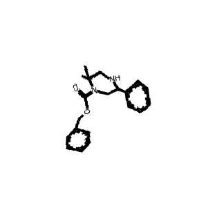 CC1(C)CNC(c2ccccc2)CN1C(=O)OCc1ccccc1